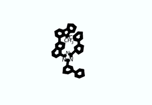 CC1(C)c2ccccc2-c2cccc(-c3ccc4c(-c5nc(-c6cccc(-c7ccccc7)c6)nc(-c6cccc(-c7ccccc7)c6)n5)cccc4c3)c21